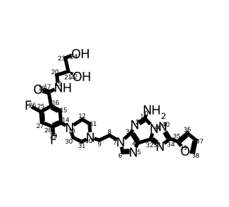 Nc1nc2c(ncn2CCN2CCN(c3cc(C(=O)NC[C@H](O)CO)c(F)cc3F)CC2)c2nc(-c3ccco3)nn12